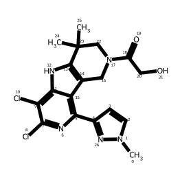 Cn1ccc(-c2nc(Cl)c(Cl)c3[nH]c4c(c23)CN(C(=O)CO)CC4(C)C)n1